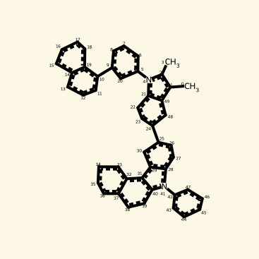 Cc1c(C)n(-c2cccc(-c3cccc4ccccc34)c2)c2ccc(-c3ccc4c(c3)c3c5ccccc5ccc3n4-c3ccccc3)cc12